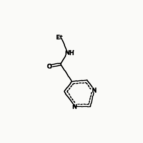 CCNC(=O)c1cncnc1